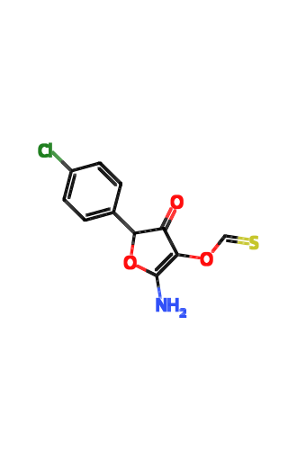 NC1=C(OC=S)C(=O)C(c2ccc(Cl)cc2)O1